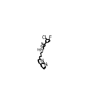 Fc1ccc(-c2cc(CNCCCCc3ccc4cccnc4n3)on2)cc1Cl